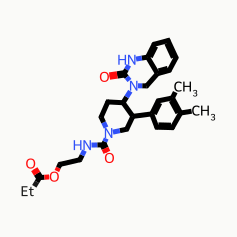 CCC(=O)OCCNC(=O)N1CCC(N2Cc3ccccc3NC2=O)C(c2ccc(C)c(C)c2)C1